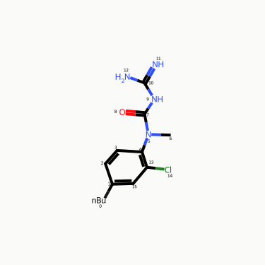 CCCCc1ccc(N(C)C(=O)NC(=N)N)c(Cl)c1